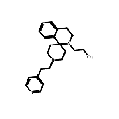 OCCN1CCc2ccccc2C12CCN(CCc1ccncc1)CC2